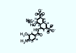 Cc1cc(C(=O)Nc2cc(S(=O)(=O)[O-])cc3cc(S(=O)(=O)[O-])cc(O)c23)ccc1N.[Na+].[Na+]